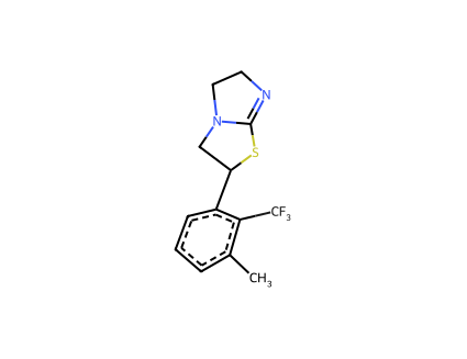 Cc1cccc(C2CN3CCN=C3S2)c1C(F)(F)F